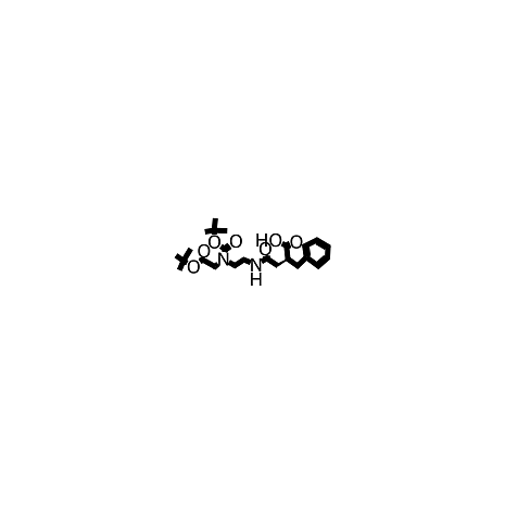 CC(C)(C)OC(=O)CN(CCNC(=O)C[C@H](Cc1ccccc1)C(=O)O)C(=O)OC(C)(C)C